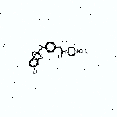 CN1CCN(C(=O)Cc2ccc(Oc3nc4ccc(Cl)cc4s3)cc2)CC1